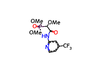 COC(C(=O)Nc1cc(C(F)(F)F)ccn1)P(=O)(OC)OC